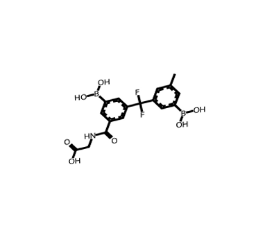 Cc1cc(B(O)O)cc(C(F)(F)c2cc(B(O)O)cc(C(=O)NCC(=O)O)c2)c1